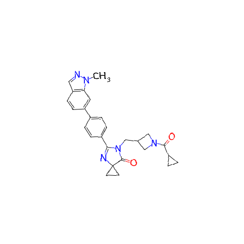 Cn1ncc2ccc(-c3ccc(C4=NC5(CC5)C(=O)N4CC4CN(C(=O)C5CC5)C4)cc3)cc21